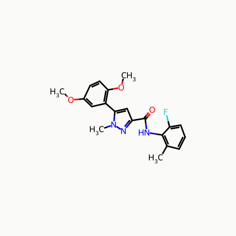 COc1ccc(OC)c(-c2cc(C(=O)Nc3c(C)cccc3F)nn2C)c1